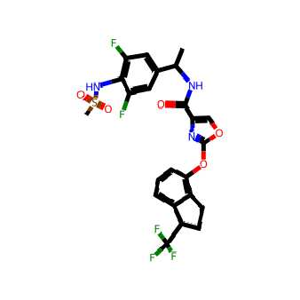 CC(NC(=O)c1coc(Oc2cccc3c2CCC3C(F)(F)F)n1)c1cc(F)c(NS(C)(=O)=O)c(F)c1